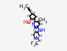 CC#Cc1ccc(-c2nnc(N[C@@H]3CCCN(CC(F)(F)F)C3)cc2C)c(O)c1